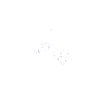 CN1CCC[C@H]1COc1nc2c(c(N3CC4CCC(C3)N4)n1)CCN(c1cncc3cccc(Cl)c13)C2